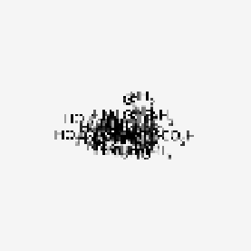 CC[C@H](C)[C@H](NC(=O)[C@@H](NC(=O)[C@@H](N)CCC(N)=O)C(C)C)C(=O)N[C@@H](CC(N)=O)C(=O)N[C@@H](CCC(=O)O)C(=O)N[C@H](C(=O)N[C@@H](CO)C(=O)N[C@@H](CCC(N)=O)C(=O)N[C@@H](Cc1c[nH]cn1)C(=O)N[C@@H](Cc1c[nH]cn1)C(=O)N[C@@H](CC(=O)O)C(=O)N[C@@H](CC(=O)O)C(=O)N[C@@H](CC(C)C)C(=O)N[C@@H](CCC(=O)O)C(=O)O)[C@@H](C)O